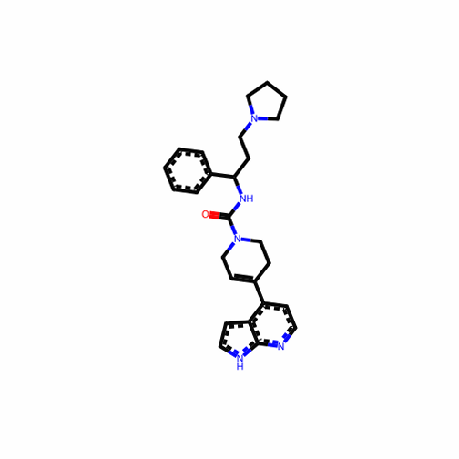 O=C(NC(CCN1CCCC1)c1ccccc1)N1CC=C(c2ccnc3[nH]ccc23)CC1